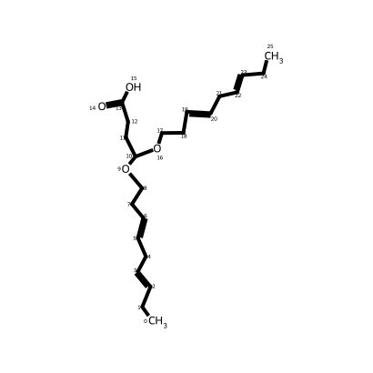 CCC=CCC=CCCOC(CCC(=O)O)OCCC=CCC=CCC